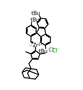 CC1=[C](/[Zr+2](=[CH]/c2ccc(C(C)(C)C)cc2)[c]2c(C(C)(C)C)ccc3c2Cc2cc(C(C)(C)C)ccc2-3)C(C)C=C1CC12CC3CC(CC(C3)C1)C2.[Cl-].[Cl-]